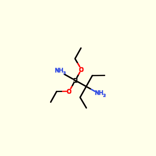 CCO[Si](C)(OCC)C(N)(CC)CC.N